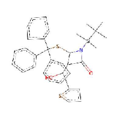 CC(C)(C)[Si](C)(C)N1C(=O)C(C(O)c2cccs2)C1SC(c1ccccc1)(c1ccccc1)c1ccccc1